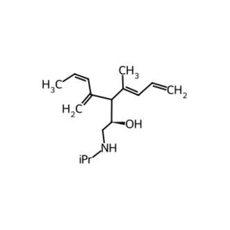 C=C/C=C(\C)C(C(=C)/C=C\C)[C@@H](O)CNC(C)C